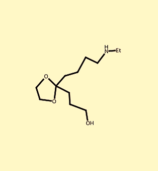 CCNCCCCC1(CCCO)OCCO1